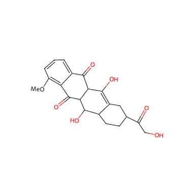 COc1cccc2c1C(=O)C1C(C2=O)C(O)=C2CC(C(=O)CO)CCC2C1O